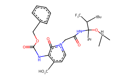 CC(C)C(NC(=O)Cn1ccc(C(=O)O)c(NC(=O)OCc2ccccc2)c1=O)(O[SiH](C)C)C(C(C)(C)C)C(F)(F)F